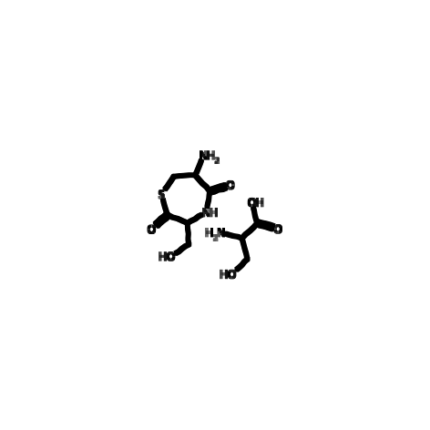 NC(CO)C(=O)O.NC1CSC(=O)C(CO)NC1=O